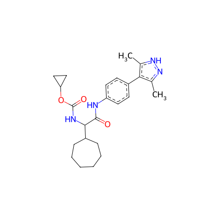 Cc1n[nH]c(C)c1-c1ccc(NC(=O)C(NC(=O)OC2CC2)C2CCCCCC2)cc1